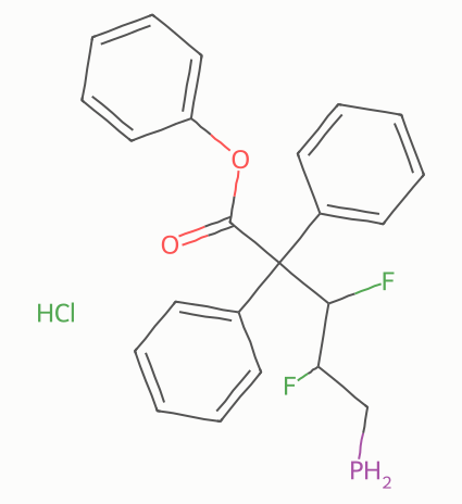 Cl.O=C(Oc1ccccc1)C(c1ccccc1)(c1ccccc1)C(F)C(F)CP